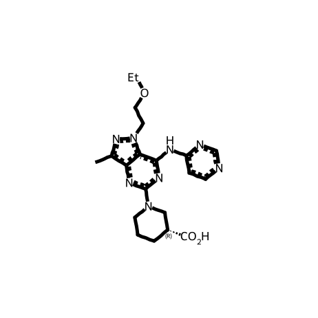 CCOCCn1nc(C)c2nc(N3CCC[C@@H](C(=O)O)C3)nc(Nc3ccncn3)c21